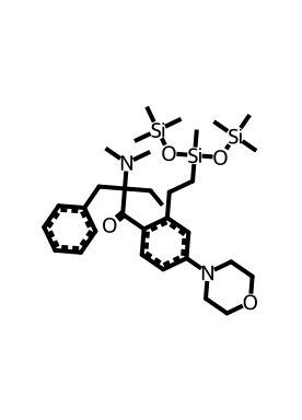 CCC(Cc1ccccc1)(C(=O)c1ccc(N2CCOCC2)cc1CC[Si](C)(O[Si](C)(C)C)O[Si](C)(C)C)N(C)C